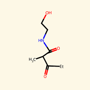 CCC(=O)C(C)C(=O)NCCO